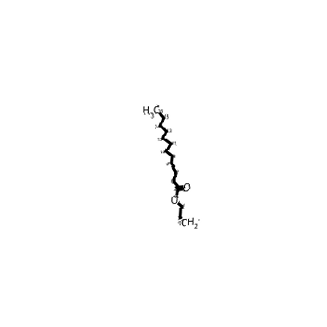 [CH2]CCOC(=O)CCCCCCCCCCC